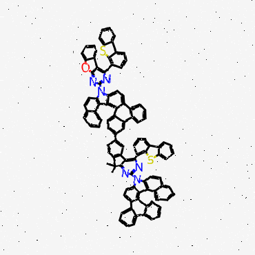 CC1(C)c2ccc(-c3ccc4c(c3)c3ccccc3c3ccc5c(c34)c3c4ccccc4ccc3n5-c3nc(-c4cccc5c4sc4ccccc45)c4c(n3)oc3ccccc34)cc2-c2c(-c3cccc4c3sc3ccccc34)nc(-n3c4ccc5ccccc5c4c4c5c6ccccc6c6ccccc6c5ccc43)nc21